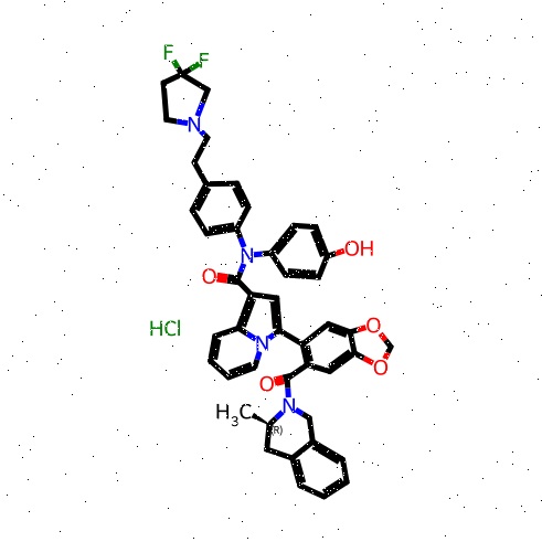 C[C@@H]1Cc2ccccc2CN1C(=O)c1cc2c(cc1-c1cc(C(=O)N(c3ccc(O)cc3)c3ccc(CCN4CCC(F)(F)C4)cc3)c3ccccn13)OCO2.Cl